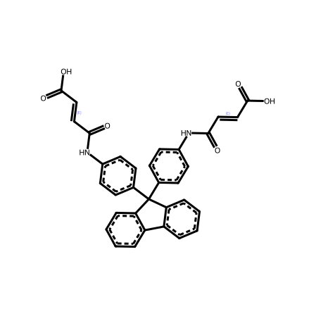 O=C(O)/C=C/C(=O)Nc1ccc(C2(c3ccc(NC(=O)/C=C/C(=O)O)cc3)c3ccccc3-c3ccccc32)cc1